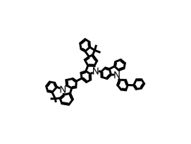 CC1(C)c2ccccc2-c2cc3c4cc(-c5ccc6c(c5)c5cccc7c5n6-c5ccccc5C7(C)C)ccc4n(-c4ccc5c(c4)c4ccccc4n5-c4cccc(-c5ccccc5)c4)c3cc21